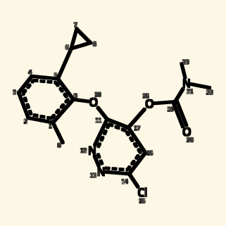 Cc1cccc(C2CC2)c1Oc1nnc(Cl)cc1OC(=O)N(C)C